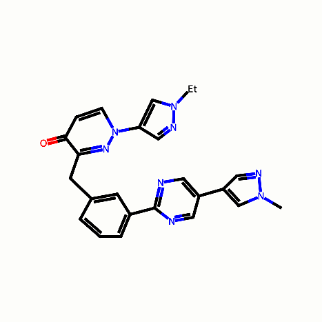 CCn1cc(-n2ccc(=O)c(Cc3cccc(-c4ncc(-c5cnn(C)c5)cn4)c3)n2)cn1